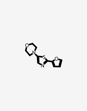 c1coc(-c2ncc(N3CCOCC3)s2)c1